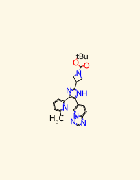 Cc1cccc(-c2nc(C3CN(C(=O)OC(C)(C)C)C3)[nH]c2-c2ccc3ncnn3c2)n1